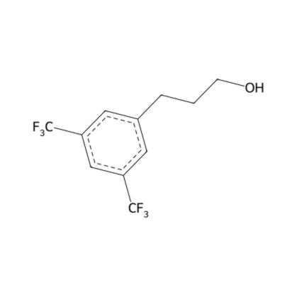 OCCCc1cc(C(F)(F)F)cc(C(F)(F)F)c1